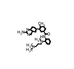 Cc1ccc(C(=O)Nc2ccccc2N(C)CCCN(C)C)cc1-c1ccc2nc(N)ncc2c1